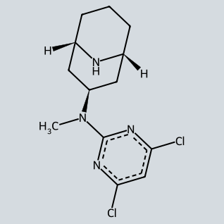 CN(c1nc(Cl)cc(Cl)n1)[C@@H]1C[C@H]2CCC[C@@H](C1)N2